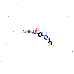 CC(=O)NC[C@H]1CN(c2ccc(N3CCN(Cc4ccsc4)NC3)c(F)c2)C(=O)O1